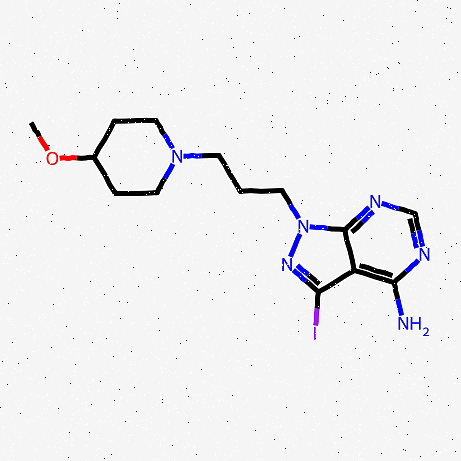 COC1CCN(CCCn2nc(I)c3c(N)ncnc32)CC1